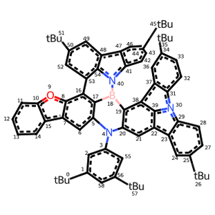 CC(C)(C)c1cc(N2c3cc4c(oc5ccccc54)c4c3B(c3c2cc2c5cc(C(C)(C)C)ccc5n5c6ccc(C(C)(C)C)cc6c3c25)n2c3ccc(C(C)(C)C)cc3c3cc(C(C)(C)C)cc-4c32)cc(C(C)(C)C)c1